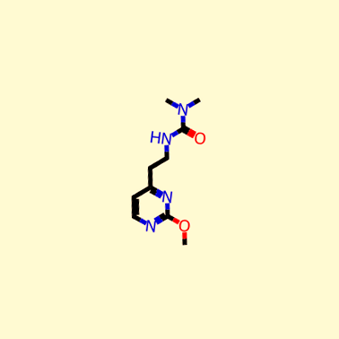 COc1nccc(CCNC(=O)N(C)C)n1